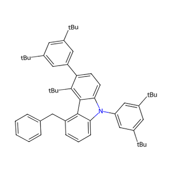 CC(C)(C)c1cc(-c2ccc3c(c2C(C)(C)C)c2c(Cc4ccccc4)cccc2n3-c2cc(C(C)(C)C)cc(C(C)(C)C)c2)cc(C(C)(C)C)c1